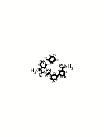 CN(C(=O)n1cnc(-c2cccc(-c3cccc(C(N)=O)c3)c2)c1)C1CCN(Cc2ccccc2)CC1